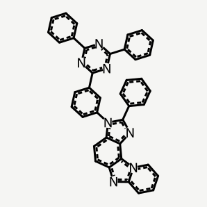 c1ccc(-c2nc(-c3ccccc3)nc(-c3cccc(-n4c(-c5ccccc5)nc5c4ccc4nc6ccccn6c45)c3)n2)cc1